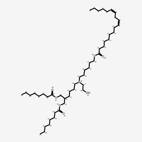 CCCCC/C=C\C/C=C\CCCCCCCC(=O)OCCCCCCN(CCO)CCCCC(COC(=O)CCCCCCC)COC(=O)CCCCCCC